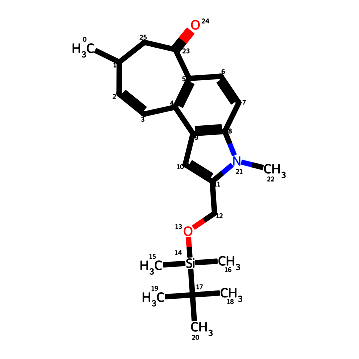 CC1C=Cc2c(ccc3c2cc(CO[Si](C)(C)C(C)(C)C)n3C)C(=O)C1